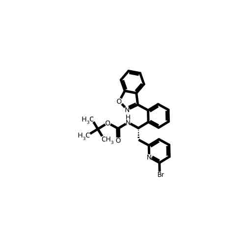 CC(C)(C)OC(=O)N[C@@H](Cc1cccc(Br)n1)c1ccccc1-c1noc2ccccc12